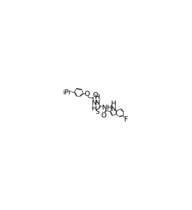 CC(C)c1ccc(OCC(=O)NNC(=S)NC(=O)c2cc3cc(F)ccc3[nH]2)cc1